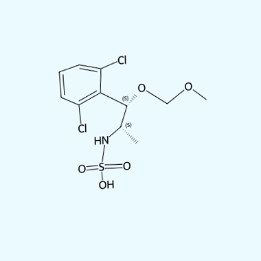 COCO[C@@H](c1c(Cl)cccc1Cl)[C@H](C)NS(=O)(=O)O